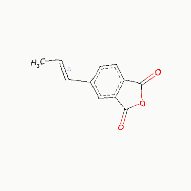 C/C=C/c1ccc2c(c1)C(=O)OC2=O